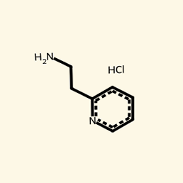 Cl.NCCc1ccccn1